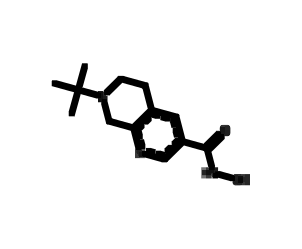 CC(C)(C)N1CCc2cc(C(=O)NO)cnc2C1